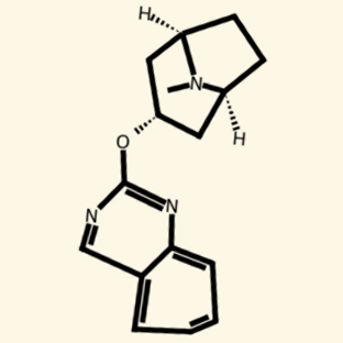 CN1[C@@H]2CC[C@H]1C[C@H](Oc1ncc3ccccc3n1)C2